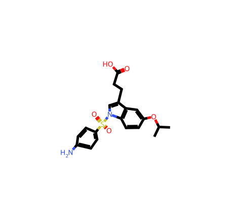 CC(C)Oc1ccc2c(c1)c(CCC(=O)O)cn2S(=O)(=O)c1ccc(N)cc1